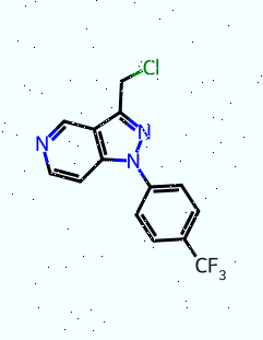 FC(F)(F)c1ccc(-n2nc(CCl)c3cnccc32)cc1